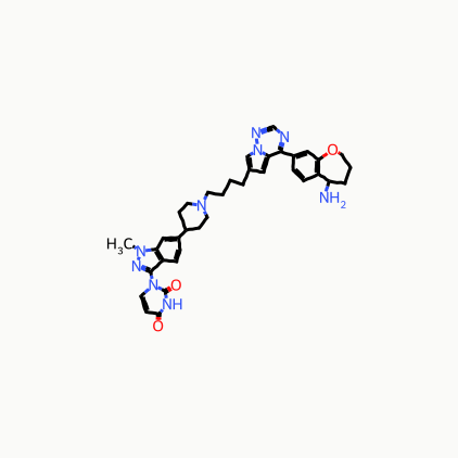 Cn1nc(-n2ccc(=O)[nH]c2=O)c2ccc(C3CCN(CCCCc4cc5c(-c6ccc7c(c6)OCCCC7N)ncnn5c4)CC3)cc21